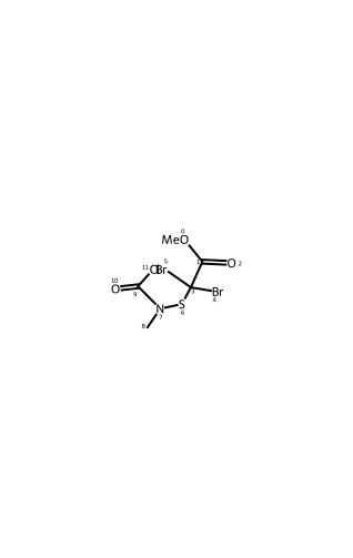 COC(=O)C(Br)(Br)SN(C)C(=O)Cl